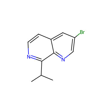 CC(C)c1nccc2cc(Br)cnc12